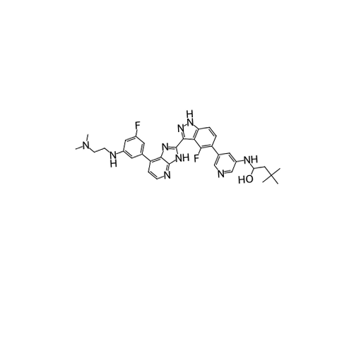 CN(C)CCNc1cc(F)cc(-c2ccnc3[nH]c(-c4n[nH]c5ccc(-c6cncc(NC(O)CC(C)(C)C)c6)c(F)c45)nc23)c1